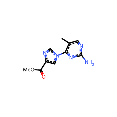 COC(=O)c1cn(-c2nc(N)ncc2C)cn1